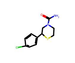 NC(=O)N1CCSC(c2ccc(Cl)cc2)C1